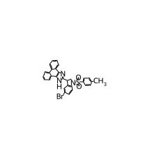 Cc1ccc(S(=O)(=O)N2CC(c3nc4c5ccccc5c5ccccc5c4[nH]3)c3cc(Br)ccc32)cc1